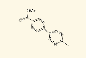 COC(=O)c1ccc(-c2cnc(C)nc2)cc1